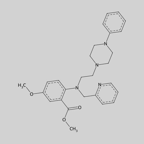 COC(=O)c1cc(OC)ccc1N(CCN1CCN(c2ccccc2)CC1)Cc1ccccn1